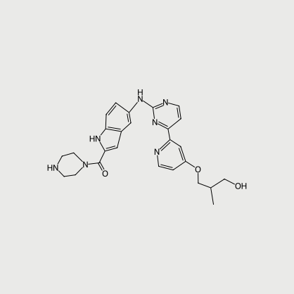 CC(CO)COc1ccnc(-c2ccnc(Nc3ccc4[nH]c(C(=O)N5CCNCC5)cc4c3)n2)c1